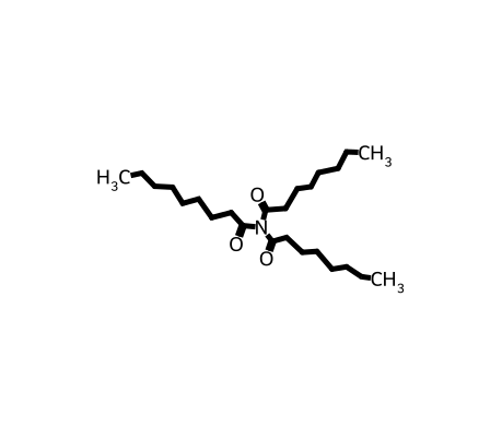 CCCCCCCCC(=O)N(C(=O)CCCCCCC)C(=O)CCCCCCC